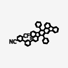 N#Cc1ccc(C(F)(F)F)c(-c2cccc(-c3ccc4c5c(-c6ccccc6)c6cc7c8ccccc8c8cccc(c6c(-c6ccccc6)c5c5cccc3c45)c87)c2)c1